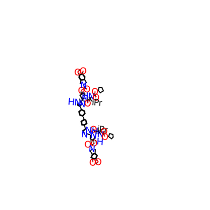 CC(C)[C@H](NC(=O)OC1CCCC1)C(=O)N1C[C@H](OC(=O)N2Cc3cc4c(cc3C2)OCO4)CC1c1ncc(-c2ccc(-c3ccc(-c4c[nH]c([C@@H]5C[C@@H](OC(=O)N6Cc7cc8c(cc7C6)OCO8)CN5C(=O)[C@@H](NC(=O)OC5CCCC5)C(C)C)n4)cc3)cc2)[nH]1